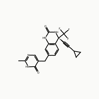 Cc1ncc(Cc2ccc3c(c2)NC(=O)N[C@]3(C#CC2CC2)C(F)(F)F)c(=O)[nH]1